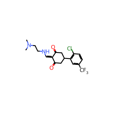 CN(C)CCNC=C1C(=O)CC(c2cc(C(F)(F)F)ccc2Cl)CC1=O